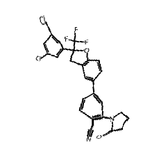 N#Cc1ccc(-c2ccc3c(c2)CC(c2cc(Cl)cc(Cl)c2)(C(F)(F)F)O3)cc1N1CCCC1=O